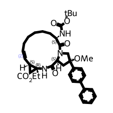 CCOC(=O)[C@@]12C[C@H]1/C=C\CCCCC[C@H](NC(=O)OC(C)(C)C)C(=O)N1C[C@](OC)(c3ccc(-c4ccccc4)cc3)C[C@H]1C(=O)N2